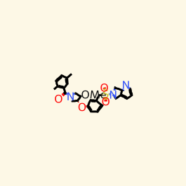 CO[C@@H]1CN(C(=O)c2cc(C)ccc2C)C[C@H]1Oc1cccc(CS(=O)(=O)N2Cc3cccnc3C2)c1